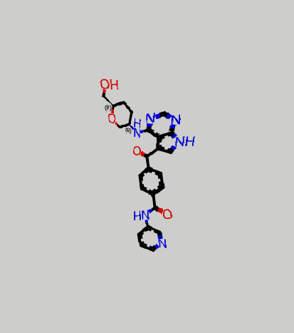 O=C(Nc1cccnc1)c1ccc(C(=O)c2c[nH]c3ncnc(N[C@@H]4CC[C@H](CO)OC4)c23)cc1